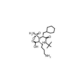 CC(C)(C)NC(=O)[C@H](CC1CCCCC1)N([C@@H](CCCCN)C(=O)O)S(N)(=O)=O